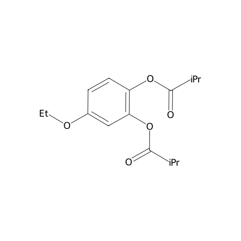 CCOc1ccc(OC(=O)C(C)C)c(OC(=O)C(C)C)c1